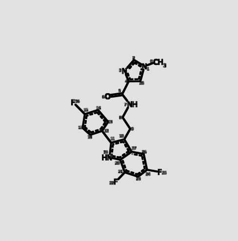 Cn1cnc(C(=O)NCCc2c(-c3ccc(F)cc3)[nH]c3c(F)cc(F)cc23)c1